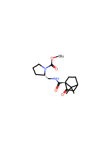 CC(C)(C)OC(=O)N1CCC[C@H]1CNC(=O)[C@]12CCC(CC1=O)C2(C)C